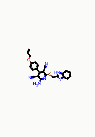 C=CCOc1ccc(-c2c(C#N)c(N)nc(SCc3nc4ccccc4[nH]3)c2C#N)cc1